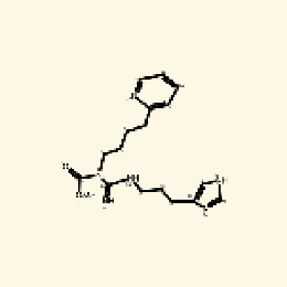 COC(=O)N(CCCCc1ccccn1)C(=N)NCCCc1c[nH]cn1